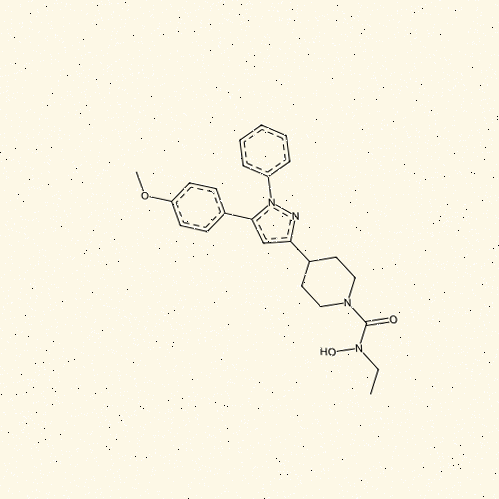 CCN(O)C(=O)N1CCC(c2cc(-c3ccc(OC)cc3)n(-c3ccccc3)n2)CC1